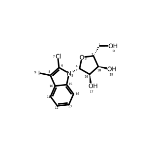 OC[C@H]1O[C@@H](n2c(Cl)c(I)c3ccccc32)[C@H](O)[C@@H]1O